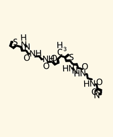 CC(c1csc(-c2cc(C(=O)NCCCNC(=O)c3ccno3)n[nH]2)c1)c1ccc(C(=O)NCCCNC(=O)c2cc(-c3cccs3)[nH]n2)o1